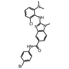 CN(C)c1cccc(Cl)c1Nc1nc2cc(C(=O)Nc3ccc(Br)cc3)ccc2n1C